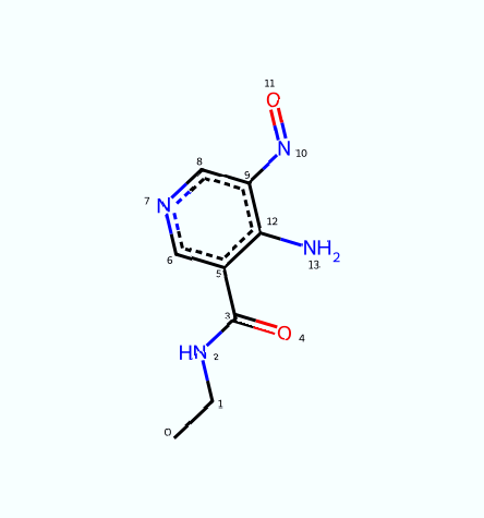 CCNC(=O)c1cncc(N=O)c1N